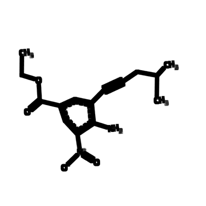 CCOC(=O)c1cc(C#CCC(C)C)c(N)c([N+](=O)[O-])c1